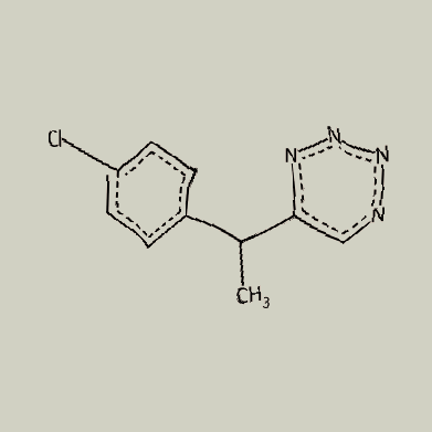 CC(c1ccc(Cl)cc1)c1cnnnn1